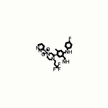 Cc1cc(Nc2ccc(F)cc2)c(C=N)cc1[C@@H]1CN(S(=O)(=O)c2cccnn2)CCN1CCC(F)(F)F